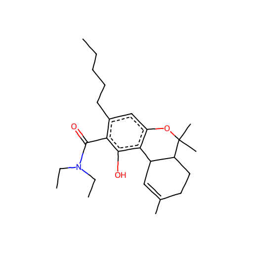 CCCCCc1cc2c(c(O)c1C(=O)N(CC)CC)C1C=C(C)CCC1C(C)(C)O2